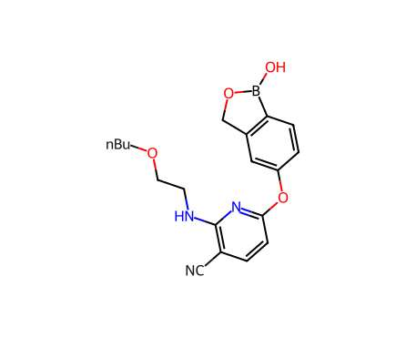 CCCCOCCNc1nc(Oc2ccc3c(c2)COB3O)ccc1C#N